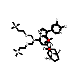 CC(C)(C)OC(=O)N1[C@@H]2CC[C@H]1C[C@H](c1cc(N(COCC[Si](C)(C)C)COCC[Si](C)(C)C)n3ncc(-c4cnc(Cl)c(F)c4)c3n1)C2